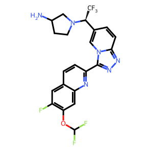 NC1CCN([C@H](c2ccc3nnc(-c4ccc5cc(F)c(OC(F)F)cc5n4)n3c2)C(F)(F)F)C1